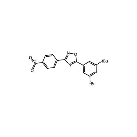 CC(C)(C)c1cc(-c2nc(-c3ccc([SH](=O)=O)cc3)no2)cc(C(C)(C)C)c1